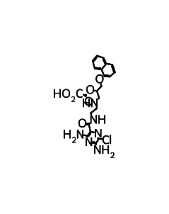 Nc1nc(N)c(C(=O)NCCNCC(COc2cccc3ccccc23)OC(=O)C(=O)O)nc1Cl